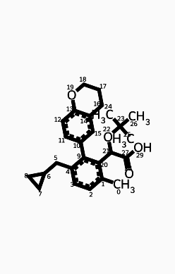 Cc1ccc(CC2CC2)c(-c2ccc3c(c2)CCCO3)c1C(OC(C)(C)C)C(=O)O